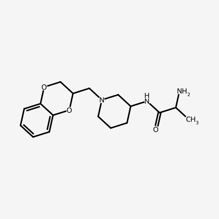 CC(N)C(=O)NC1CCCN(CC2COc3ccccc3O2)C1